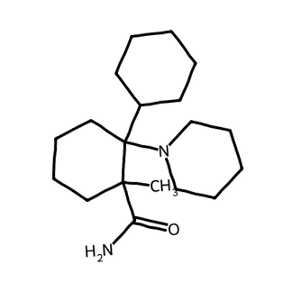 CC1(C(N)=O)CCCCC1(C1CCCCC1)N1CCCCC1